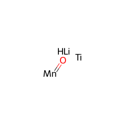 [LiH].[O]=[Mn].[Ti]